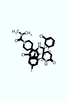 CN(C)C(=O)N1CCC(Oc2ccc(I)cc2[C@@H]2NC(=O)C[C@@H](C3C=CC=C(Cl)C3)[C@]23C(=O)Nc2cc(Cl)ccc23)CC1